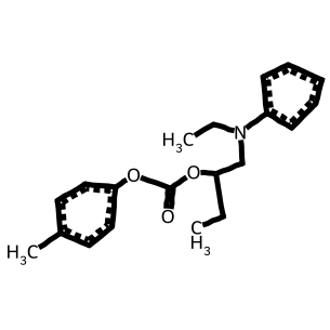 CCC(CN(CC)c1ccccc1)OC(=O)Oc1ccc(C)cc1